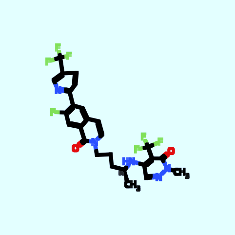 C[C@@H](CCCn1ccc2cc(-c3ccc(C(F)(F)F)cn3)c(F)cc2c1=O)Nc1cnn(C)c(=O)c1C(F)(F)F